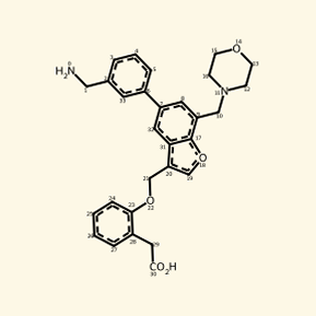 NCc1cccc(-c2cc(CN3CCOCC3)c3occ(COc4ccccc4CC(=O)O)c3c2)c1